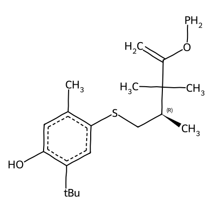 C=C(OP)C(C)(C)[C@@H](C)CSc1cc(C(C)(C)C)c(O)cc1C